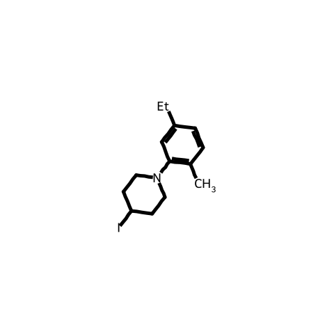 CCc1ccc(C)c(N2CCC(I)CC2)c1